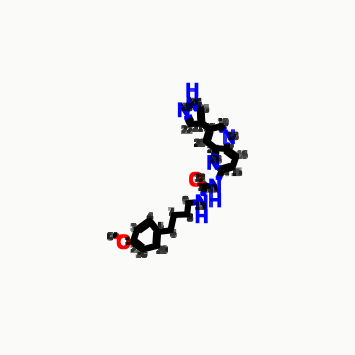 COc1ccc(CCCCNC(=O)Nc2ccc3ncc(-c4cn[nH]c4)cc3n2)cc1